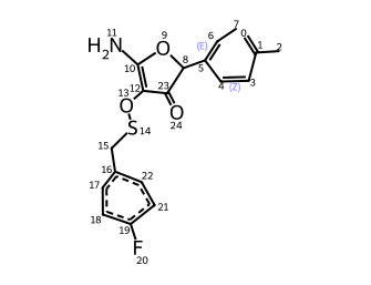 C=C(C)/C=C\C(=C/C)C1OC(N)=C(OSCc2ccc(F)cc2)C1=O